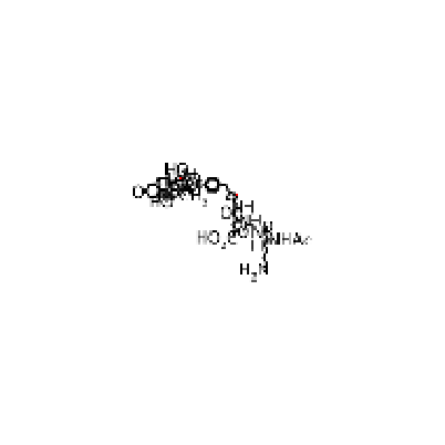 CC(=O)N[C@@H](CCCCN)C(=O)NCC(=O)N[C@@H](CCC(=O)O)C(=O)NC12CC(Cc3ccc([C@@H]4O[C@@H]5C[C@H]6[C@@H]7CCC8=CC(=O)C=C[C@]8(C)[C@H]7[C@@H](O)C[C@]6(C)[C@]5(C(=O)CO)O4)cc3)(C1)C2